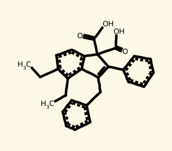 CCc1ccc2c(c1CC)C(Cc1ccccc1)=C(c1ccccc1)C2(C(=O)O)C(=O)O